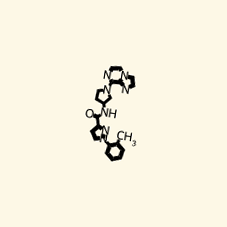 Cc1ccccc1-n1ccc(C(=O)NC2CCN(c3nccn4ccnc34)C2)n1